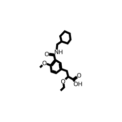 CCOC(Cc1ccc(OC)c(C(=O)NCC2CCCCC2)c1)C(=O)O